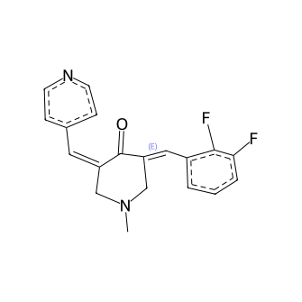 CN1CC(=Cc2ccncc2)C(=O)/C(=C/c2cccc(F)c2F)C1